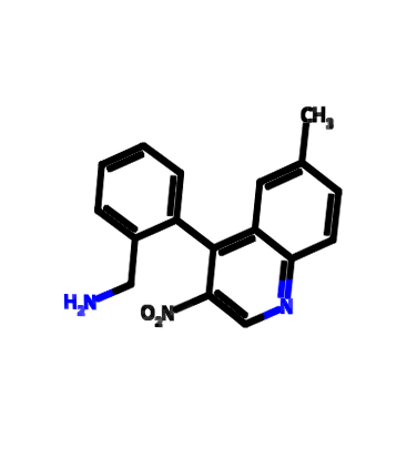 Cc1ccc2ncc([N+](=O)[O-])c(-c3ccccc3CN)c2c1